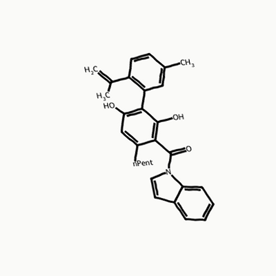 C=C(C)c1ccc(C)cc1-c1c(O)cc(CCCCC)c(C(=O)n2ccc3ccccc32)c1O